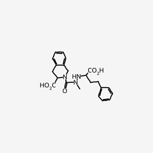 CN(NC(CCc1ccccc1)C(=O)O)C(=O)N1Cc2ccccc2CC1C(=O)O